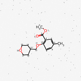 COC(=O)c1cc(C)ccc1OCC1CCOCC1